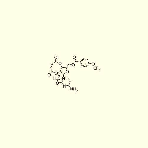 C[N+]1([C@@H]2O[C@H](COC(=O)c3ccc(OC(F)(F)F)cc3)C3OC(=O)/C=C\C(=O)O[C@@H]32)C=CC(N)=NC1=O